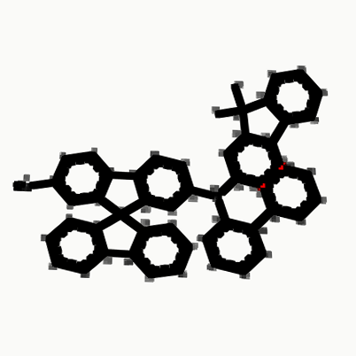 CC(C)(C)c1ccc2c(c1)C1(c3ccccc3-c3ccccc31)c1cc(N(c3ccc4c(c3)C(C)(C)c3ccccc3-4)c3ccccc3-c3ccccc3)ccc1-2